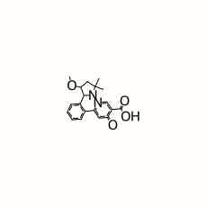 COC1CC(C)(C)N2C1c1ccccc1-c1cc(=O)c(C(=O)O)cn12